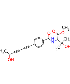 COC(=O)C(NC(=O)c1ccc(C#CC#C[C@H](C)O)cc1)C(C)(C)O